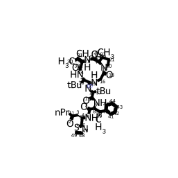 CCCC(=O)C[C@@H](NC(=O)C(NC(=O)C(/N=C1\NCC(=O)N2CC[C@@H](C)[C@H]2C(=O)NC(=C(C)C)C(=O)NC1C(C)(C)C)C(C)(C)C)[C@@H](C)c1ccccc1)c1nccs1